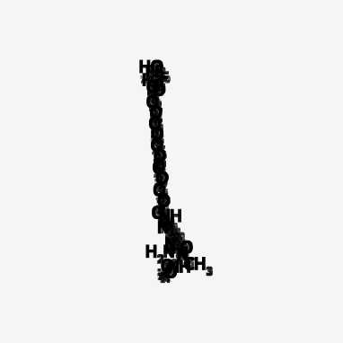 CCCN(CCCNC(=O)OC1CCC1)C(=O)C1=Cc2ccc(-c3cnc(CNC(=O)CCOCCOCCOCCOCCOCCOCCOCCOCCOCCOCCC(=O)Oc4c(F)c(F)c(SO)c(F)c4F)nc3)cc2N=C(N)C1